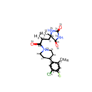 COc1cc(F)c(Cl)cc1C1CCN(C(=O)C(C)CC2(C)NC(=O)NC2=O)CC1